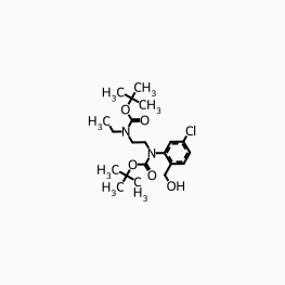 CCN(CCN(C(=O)OC(C)(C)C)c1cc(Cl)ccc1CO)C(=O)OC(C)(C)C